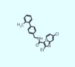 CCc1nc2cc(Cl)ccn2c1C(=O)NCc1ccc(-c2ccccc2C)cc1